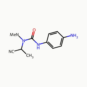 CNN(C(=O)Nc1ccc(N)cc1)C(C)C#N